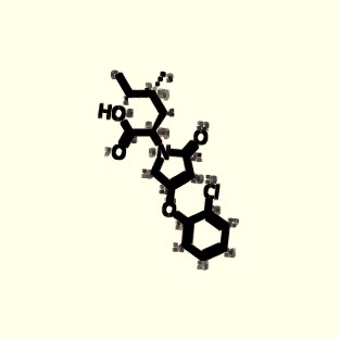 CC[C@H](C)C[C@H](C(=O)O)N1CC(Oc2ccccc2Cl)=CC1=O